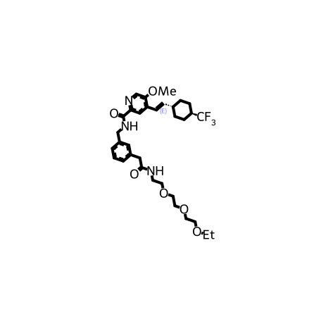 CCOCCOCCOCCNC(=O)Cc1cccc(CNC(=O)c2cc(/C=C/[C@H]3CC[C@H](C(F)(F)F)CC3)c(OC)cn2)c1